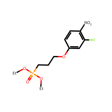 CCOP(=O)(CCCOc1ccc([N+](=O)[O-])c(F)c1)OCC